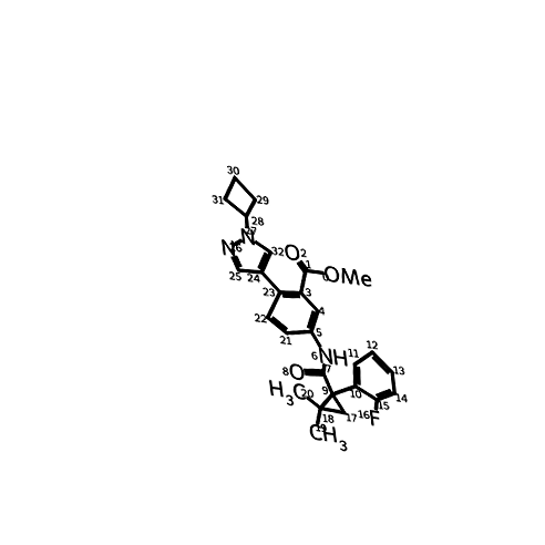 COC(=O)c1cc(NC(=O)C2(c3ccccc3F)CC2(C)C)ccc1-c1cnn(C2CCC2)c1